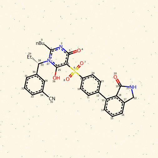 CCCCc1nc(=O)c(S(=O)(=O)c2ccc(-c3cccc4c3C(=O)NC4)cc2)c(O)n1[C@@H](CC)c1cccc(C#N)c1